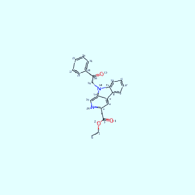 CCOC(=O)c1cc2c3ccccc3n(CC(=O)c3ccccc3)c2cn1